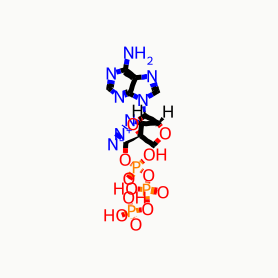 [N-]=[N+]=N[C@H]1[C@H]2OC[C@]1(COP(=O)(O)OP(=O)(O)OP(=O)(O)O)O[C@H]2n1cnc2c(N)ncnc21